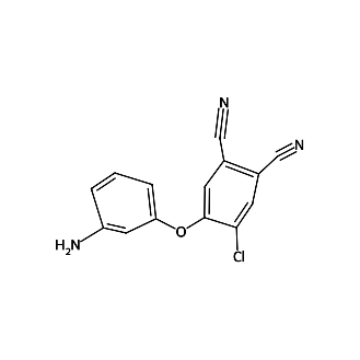 N#Cc1cc(Cl)c(Oc2cccc(N)c2)cc1C#N